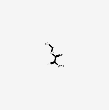 COC(=O)C(=O)NCC(C)(C)C